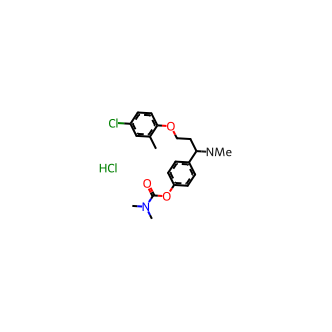 CNC(CCOc1ccc(Cl)cc1C)c1ccc(OC(=O)N(C)C)cc1.Cl